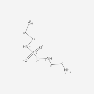 NCCNOS(=O)(=O)NCCO